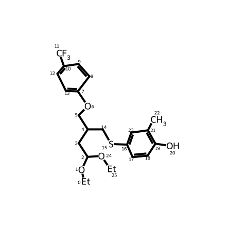 CCOC(CC(COc1ccc(C(F)(F)F)cc1)CSc1ccc(O)c(C)c1)OCC